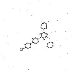 Clc1ccc(-c2ccc(-c3nc(Cc4ccccc4)nc(-c4ccccc4)n3)cn2)cc1